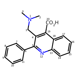 CN(C)Cc1c(-c2ccccc2)nc2ccccc2c1C(=O)O